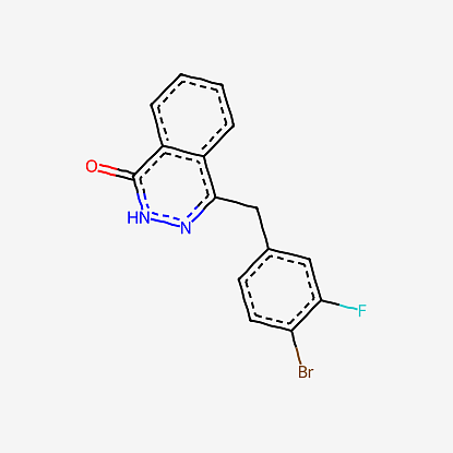 O=c1[nH]nc(Cc2ccc(Br)c(F)c2)c2ccccc12